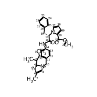 CCC(C)c1nc(C)cn1Cc1ccc(NC(=O)[C@H](Cc2ccccc2)n2cccc2C(=O)OC)cc1